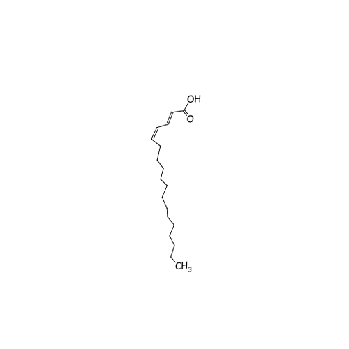 CCCCCCCCCCCCC/C=C\C=CC(=O)O